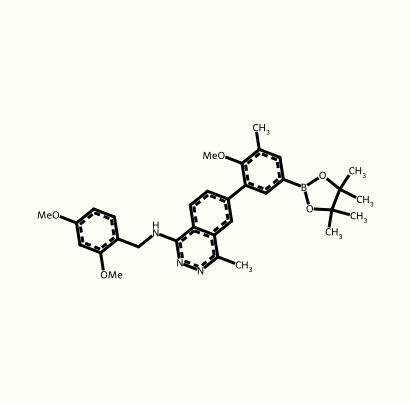 COc1ccc(CNc2nnc(C)c3cc(-c4cc(B5OC(C)(C)C(C)(C)O5)cc(C)c4OC)ccc23)c(OC)c1